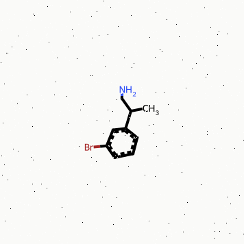 CC(CN)c1cccc(Br)c1